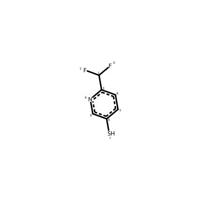 FC(F)c1ccc(S)cn1